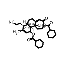 CC1=CC(OC(=O)C2CCCCC2)[C@H]2[C@@H](CCC3=CC(=O)N(C(=O)C4CCCCC4)CC[C@@]32C)[C@@H]1CCC#N